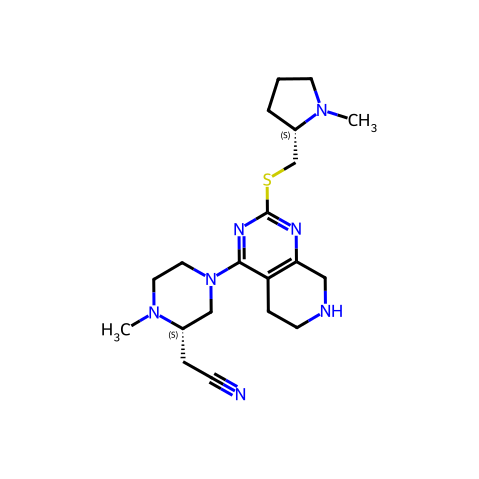 CN1CCC[C@H]1CSc1nc2c(c(N3CCN(C)[C@@H](CC#N)C3)n1)CCNC2